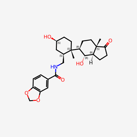 C[C@]1([C@H]2CC[C@]3(C)C(=O)CC[C@H]3[C@@H]2O)CC[C@H](O)C[C@@H]1CNC(=O)c1ccc2c(c1)OCO2